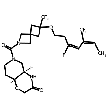 C/C=C(\C=C(\F)CCOC1(C(F)(F)F)CC2(CN(C(=O)N3CC[C@@H]4OCC(=O)N[C@@H]4C3)C2)C1)C(F)(F)F